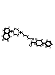 O=C(NCCCCN1CCN(c2ccnc3ccccc23)CC1)C1CCC(c2ccccc2)CC1